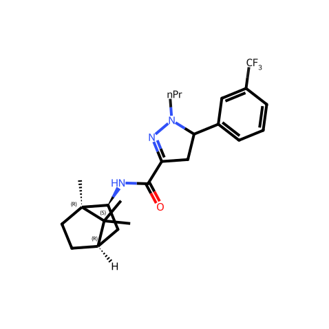 CCCN1N=C(C(=O)N[C@H]2C[C@H]3CC[C@]2(C)C3(C)C)CC1c1cccc(C(F)(F)F)c1